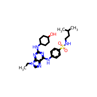 CCn1cnc2c(Nc3ccc(S(=O)(=O)NCCC(C)C)cc3)nc(NC3CCC(O)CC3)nc21